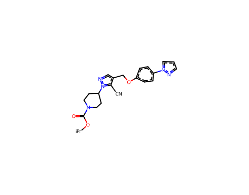 CC(C)OC(=O)N1CCC(n2ncc(COc3ccc(-n4cccn4)cc3)c2C#N)CC1